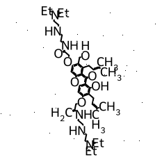 C=C(COc1cc2oc3cc(OCC(=O)NCCNCCN(CC)CC)c(CO)c(CC=C(C)C)c3c(=O)c2c(O)c1CC=C(C)C)NCCNCCN(CC)CC